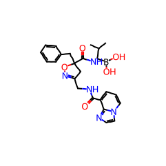 CC(C)C(NC(=O)C1(Cc2ccccc2)CC(CNC(=O)c2cccn3ccnc23)=NO1)B(O)O